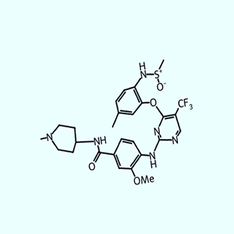 COc1cc(C(=O)NC2CCN(C)CC2)ccc1Nc1ncc(C(F)(F)F)c(Oc2cc(C)ccc2N[S+](C)[O-])n1